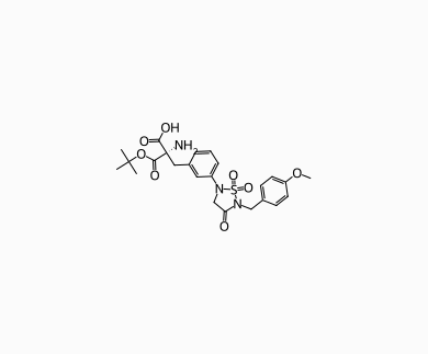 COc1ccc(CN2C(=O)CN(c3cccc(C[C@](N)(C(=O)O)C(=O)OC(C)(C)C)c3)S2(=O)=O)cc1